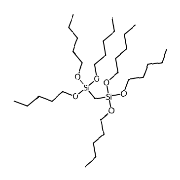 CCCCCO[Si](C[Si](OCCCCC)(OCCCCC)OCCCCC)(OCCCCC)OCCCCC